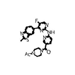 CC(=O)N1CCN(C(=O)c2ccc(Nc3ncc(F)c(-c4ccc5nc(C)sc5c4)n3)nc2)CC1